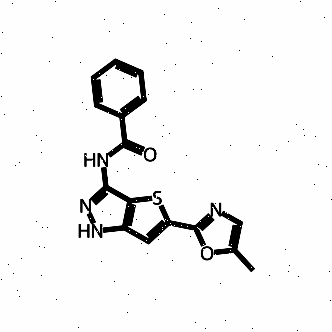 Cc1cnc(-c2cc3[nH]nc(NC(=O)c4ccccc4)c3s2)o1